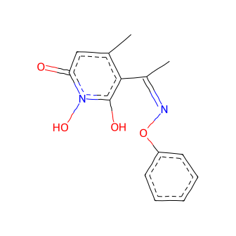 C/C(=N/Oc1ccccc1)c1c(C)cc(=O)n(O)c1O